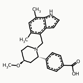 CO[C@H]1CCN(Cc2c(C)cc(C)c3[nH]ccc23)[C@H](c2ccc(C(=O)O)cc2)C1